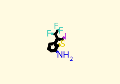 Nc1cccc2c(C(F)C(F)F)c(I)sc12